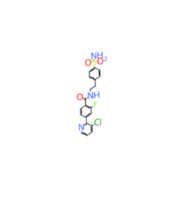 NS(=O)(=O)c1ccc(CCNC(=O)c2ccc(-c3ncccc3Cl)cc2F)cc1